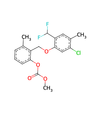 COC(=O)Oc1cccc(C)c1COc1cc(Cl)c(C)cc1C(F)F